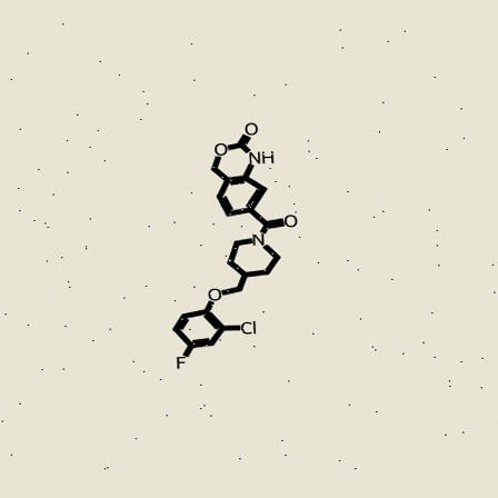 O=C1Nc2cc(C(=O)N3CCC(COc4ccc(F)cc4Cl)CC3)ccc2CO1